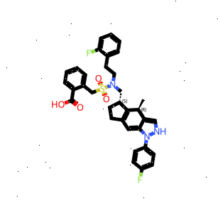 C[C@H]1C2=CNN(c3ccc(F)cc3)C2=CC2=C1[C@@H](CN(CCc1ccccc1F)S(=O)(=O)Cc1ccccc1C(=O)O)CC2